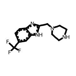 FC(F)(F)c1ccc2nc(CN3CCNCC3)[nH]c2c1